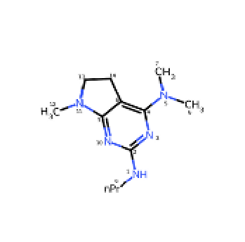 CCCNc1nc(N(C)C)c2c(n1)N(C)CC2